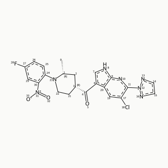 C[C@@H]1C[C@H](C(=O)c2c[nH]c3nc(-n4nccn4)c(Cl)cc23)CCN1c1ccc(F)cc1[N+](=O)[O-]